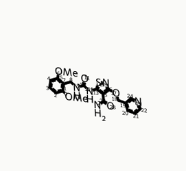 COc1cccc(OC)c1CNC(=O)Nc1snc(OCc2cccnc2)c1C(N)=O